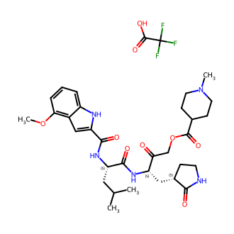 COc1cccc2[nH]c(C(=O)N[C@@H](CC(C)C)C(=O)N[C@@H](C[C@@H]3CCNC3=O)C(=O)COC(=O)C3CCN(C)CC3)cc12.O=C(O)C(F)(F)F